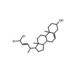 CCC(/C=C/C(C)C1CCC2C3CC=C4CC(O)CCC4(C)C3CCC12C)C(C)C